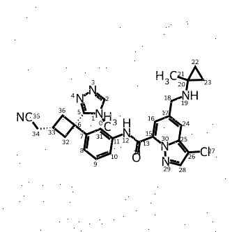 Cn1cnnc1[C@]1(c2cccc(NC(=O)c3cc(CNC4(C)CC4)cc4c(Cl)cnn34)c2)C[C@H](CC#N)C1